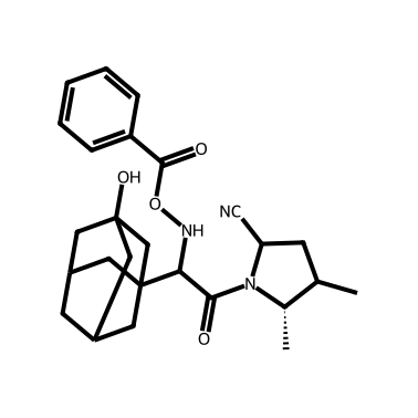 CC1CC(C#N)N(C(=O)C(NOC(=O)c2ccccc2)C23CC4CC(CC(O)(C4)C2)C3)[C@H]1C